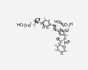 CCN(CCOS(=O)(=O)O)c1ccc(/N=N/c2nc(Cl)c(C=C3C(=O)c4ccccc4C3=O)s2)cc1.O=S(=O)(O)O